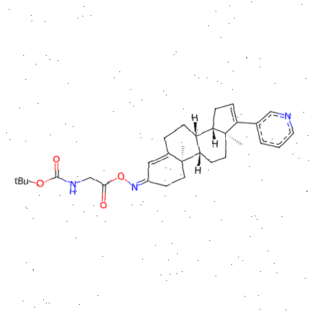 CC(C)(C)OC(=O)NCC(=O)ON=C1C=C2CC[C@H]3[C@H](CC[C@]4(C)C(c5cccnc5)=CC[C@@H]34)[C@@]2(C)CC1